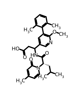 COc1ncc(C(CC(=O)O)NC(=O)[C@H](CC(C)C)n2ccc(C)cc2=O)cc1-c1c(C)cccc1C